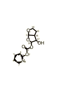 O=C(Oc1ccccn1)OC1OC2OCCC2C1O